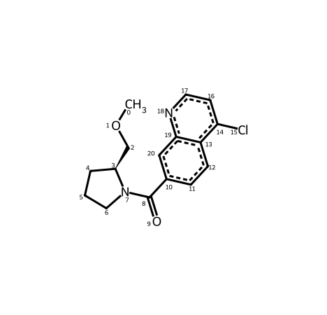 COC[C@@H]1CCCN1C(=O)c1ccc2c(Cl)ccnc2c1